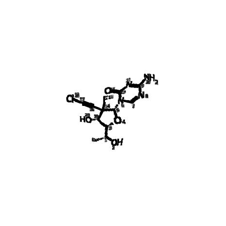 C[C@@H](O)[C@H]1O[C@@H](n2cnc(N)nc2=O)C(F)(C#CCl)[C@H]1O